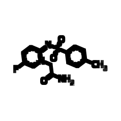 Cc1ccc(S(=O)(=O)N=c2ccc(F)cn2CC(N)=O)cc1